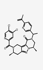 C=C(C)c1ccc(C(C)N2C[C@@H](C)n3nc4c(c3C2=O)CN(C(=O)c2cc(Cl)c(Cl)cn2)[C@H](C)C4)cn1